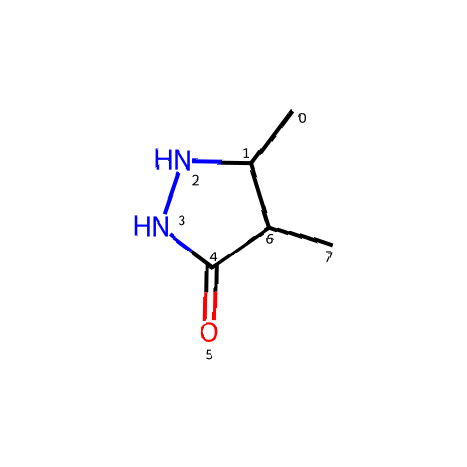 CC1NNC(=O)C1C